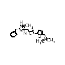 CN(C)Cc1ccc(CSCCC2(N)N=C(Cc3ccccc3)NN2C)o1